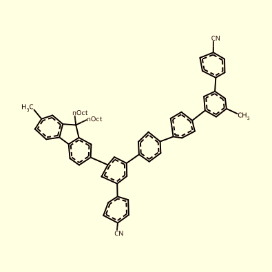 CCCCCCCCC1(CCCCCCCC)c2cc(C)ccc2-c2ccc(-c3cc(-c4ccc(C#N)cc4)cc(-c4ccc(-c5ccc(-c6cc(C)cc(-c7ccc(C#N)cc7)c6)cc5)cc4)c3)cc21